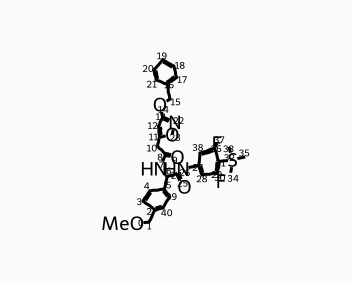 COCc1ccc(C(NC(=O)Cc2cc(OCc3ccccc3)no2)C(=O)Nc2cc(F)c(S(C)(C)C)c(F)c2)cc1